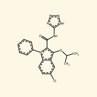 CC(C)Oc1c(C(=O)Nc2nnn[nH]2)n(-c2ccccc2)c2ccc(Cl)cc12